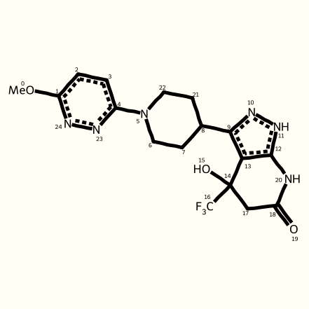 COc1ccc(N2CCC(c3n[nH]c4c3C(O)(C(F)(F)F)CC(=O)N4)CC2)nn1